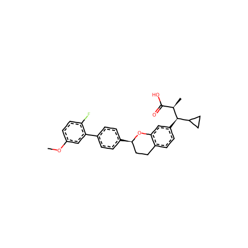 COc1ccc(F)c(-c2ccc([C@@H]3CCc4ccc([C@H](C5CC5)[C@H](C)C(=O)O)cc4O3)cc2)c1